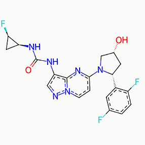 O=C(Nc1cnn2ccc(N3C[C@H](O)C[C@@H]3c3cc(F)ccc3F)nc12)N[C@H]1C[C@H]1F